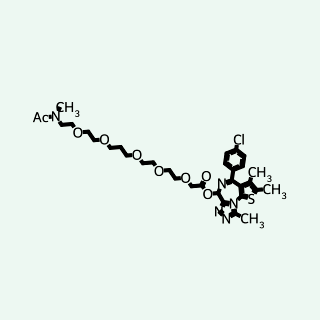 CC(=O)N(C)CCOCCOCCCOCCOCCOCC(=O)OC1N=C(c2ccc(Cl)cc2)c2c(sc(C)c2C)-n2c(C)nnc21